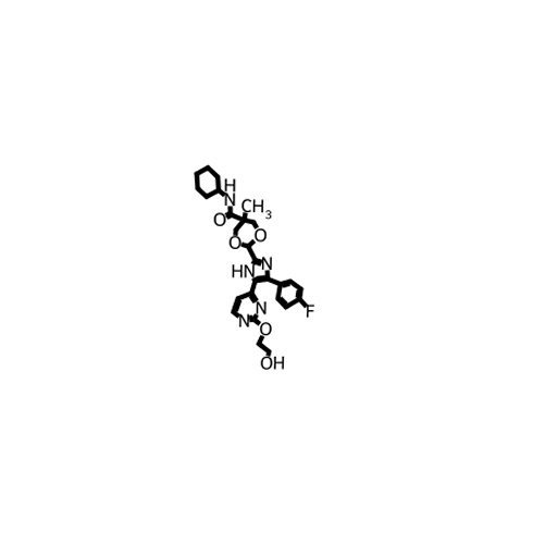 CC1(C(=O)NC2CCCCC2)COC(c2nc(-c3ccc(F)cc3)c(-c3ccnc(OCCO)n3)[nH]2)OC1